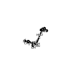 Cc1ncsc1-c1ccc(CNC(=O)[C@@H]2C[C@@H](O)CN2C(=O)[C@@H](NC(=O)COCCOCCNC(=O)CCc2ccc3n2[B-](F)(F)[N+]2=C(c4ccc[nH]4)C=CC2=C3)C(C)(C)C)cc1